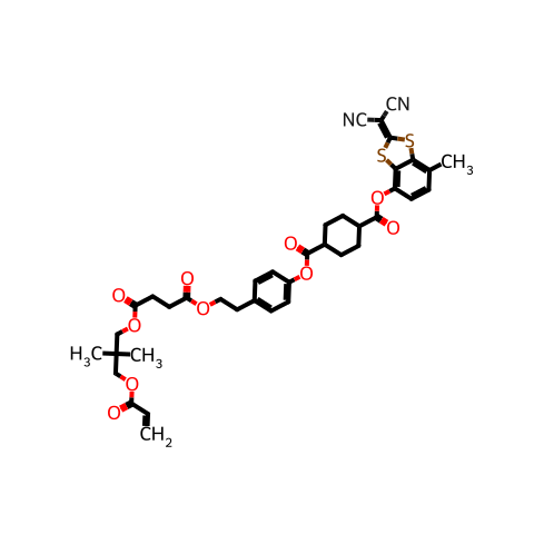 C=CC(=O)OCC(C)(C)COC(=O)CCC(=O)OCCc1ccc(OC(=O)C2CCC(C(=O)Oc3ccc(C)c4c3SC(=C(C#N)C#N)S4)CC2)cc1